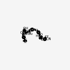 Cc1ncsc1-c1ccc(CNC(=O)[C@@H]2C[C@@H](O)CN2C(=O)[C@@H](NC(=O)CN2CCN(CCOc3ccc(C(=O)NC4C(C)(C)C(Oc5ccc(C#N)c(C(F)(F)F)c5)C4(C)C)cc3)CC2)C(C)(C)C)cc1